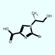 C[C@H](CO)n1cc(C(=O)O)nc1Br